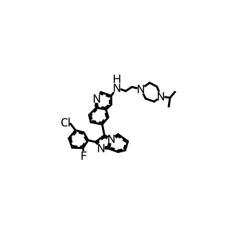 CC(C)N1CCN(CCNc2cnc3ccc(-c4c(-c5cc(Cl)ccc5F)nc5ccccn45)cc3c2)CC1